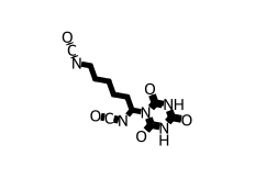 O=C=NCCCCCC(N=C=O)n1c(=O)[nH]c(=O)[nH]c1=O